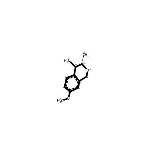 COc1ccc2c(c1)CO[C@@H](C)C2N